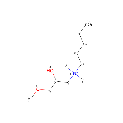 [CH2]COCC(O)C[N+](C)(C)CCCCCCCCCCCC